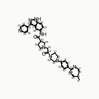 CC1C=CN=C(c2ccc(N3CCN(C(=O)CN4CCC(C(=O)Nc5ccc6[nH]nc(-c7ccncc7)c6c5)C4)CC3)cc2)N=C1